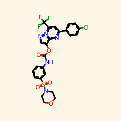 O=C(Nc1cccc(S(=O)(=O)N2CCOCC2)c1)Oc1cnn2c(C(F)(F)F)cc(-c3ccc(Cl)cc3)nc12